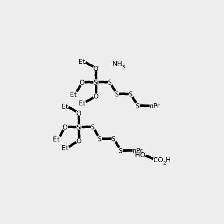 CCCSSSS[Si](OCC)(OCC)OCC.CCCSSSS[Si](OCC)(OCC)OCC.N.O=C(O)O